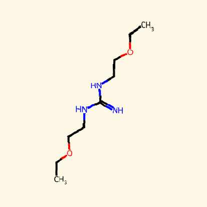 CCOCCNC(=N)NCCOCC